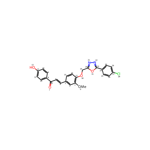 COc1cc(/C=C/C(=O)c2ccc(O)cc2)ccc1OCc1nnc(-c2ccc(Cl)cc2)o1